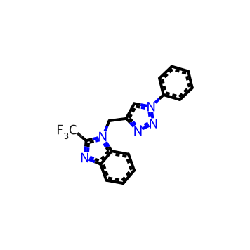 FC(F)(F)c1nc2ccccc2n1Cc1cn(-c2ccccc2)nn1